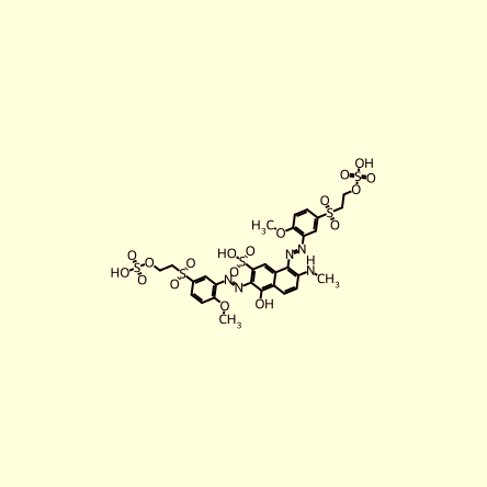 CNc1ccc2c(O)c(/N=N/c3cc(S(=O)(=O)CCOS(=O)(=O)O)ccc3OC)c(S(=O)(=O)O)cc2c1/N=N/c1cc(S(=O)(=O)CCOS(=O)(=O)O)ccc1OC